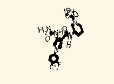 CC(C)(C)OC(=O)N1CCCC(NC(=O)c2cn(-c3ccc(C(F)(F)F)c(F)c3)cc2NC(N)=O)C1